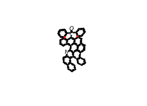 O=P(c1ccccc1)(c1ccccc1)c1c2ccccc2c2c3nc4ccc5ccccc5c4c4c5ccccc5c5ccc6ccc1c2c6c5c34